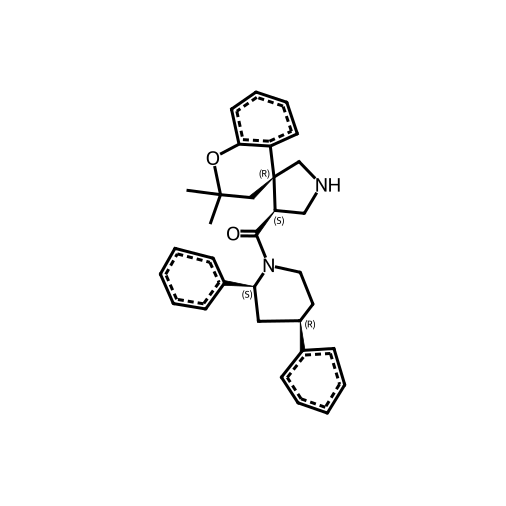 CC1(C)C[C@]2(CNC[C@H]2C(=O)N2CC[C@@H](c3ccccc3)C[C@H]2c2ccccc2)c2ccccc2O1